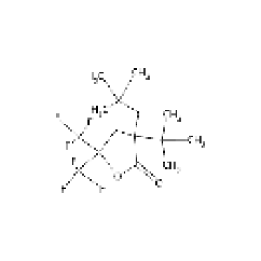 CC(C)(C)CC1(C(C)(C)C)CC(C(F)(F)F)(C(F)(F)F)OC1=O